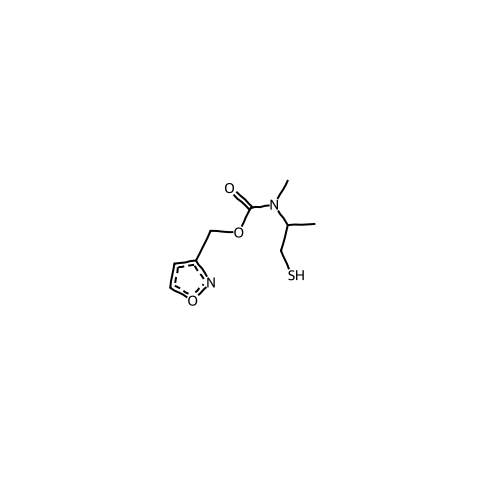 CC(CS)N(C)C(=O)OCc1ccon1